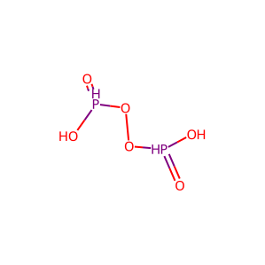 O=[PH](O)OO[PH](=O)O